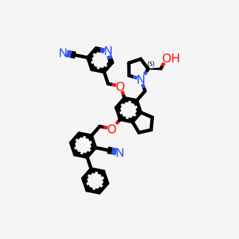 N#Cc1cncc(COc2cc(OCc3cccc(-c4ccccc4)c3C#N)c3c(c2CN2CCC[C@H]2CO)CCC3)c1